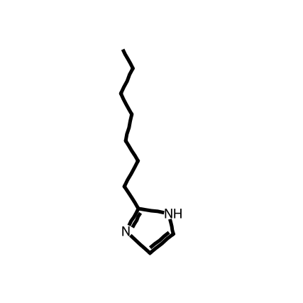 CCCCCCCc1ncc[nH]1